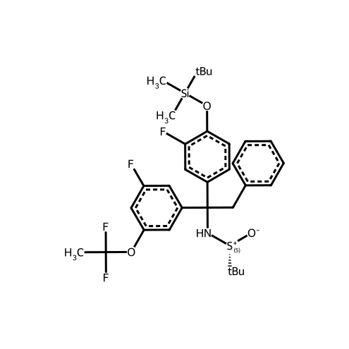 CC(F)(F)Oc1cc(F)cc(C(Cc2ccccc2)(N[S@+]([O-])C(C)(C)C)c2ccc(O[Si](C)(C)C(C)(C)C)c(F)c2)c1